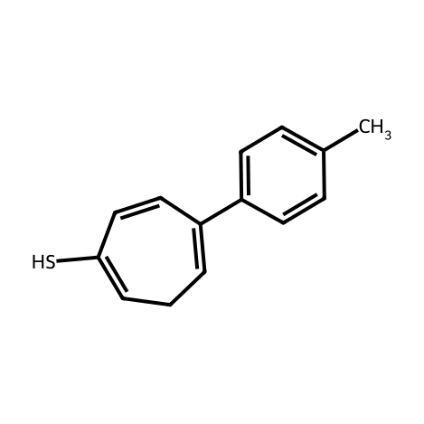 Cc1ccc(C2=CCC=C(S)C=C2)cc1